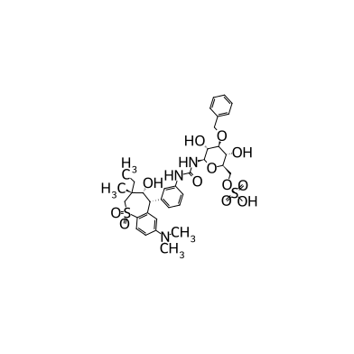 CC[C@@]1(C)CS(=O)(=O)c2ccc(N(C)C)cc2[C@@H](c2cccc(NC(=O)N[C@@H]3O[C@H](COS(=O)(=O)O)[C@@H](O)[C@H](OCc4ccccc4)[C@H]3O)c2)[C@H]1O